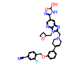 N#Cc1ccc(COc2cccc(C3=CCN(Cc4nc5cc(C6=NOC(O)N6)cnc5n4CC4CCO4)CC3)c2)c(F)c1